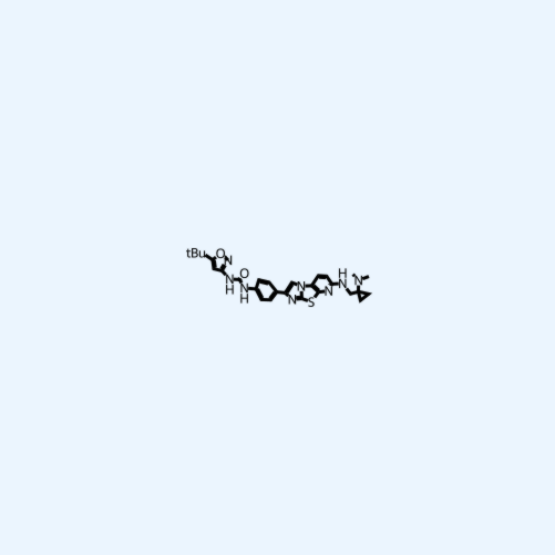 CN(C)C1(CNc2ccc3c(n2)sc2nc(-c4ccc(NC(=O)Nc5cc(C(C)(C)C)on5)cc4)cn23)CC1